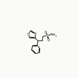 NS(=O)(=O)CCC(c1ccccc1)c1cocn1